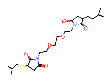 CC(C)CCC1CC(=O)N(CCOCCOCCN2C(=O)CC(SCC(C)C)C2=O)C1=O